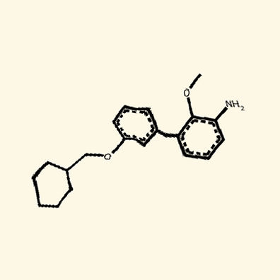 COc1c(N)cccc1-c1cccc(OCC2CCCCC2)c1